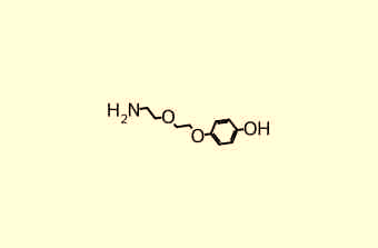 NCCOCCOc1ccc(O)cc1